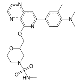 CNS(=O)(=O)N1CCOC(COc2nc(-c3ccc(N(C)C)c(C)c3)cc3nccnc23)C1